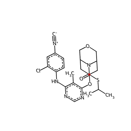 [C-]#[N+]c1ccc(Nc2ncnc(OC3CC4COCC(C3)N4C(=O)SC(C)C)c2C)c(Cl)c1